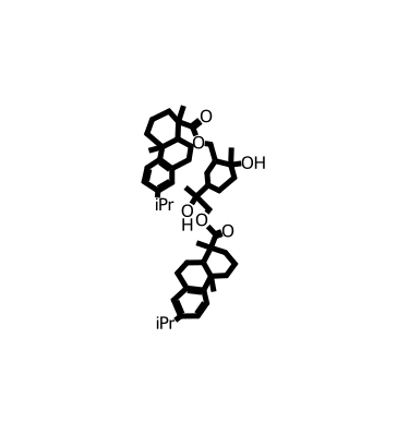 CC(C)c1ccc2c(c1)CCC1C(C)(C(=O)OCC3CC(C(C)(O)COC(=O)C4(C)CCCC5(C)c6ccc(C(C)C)cc6CCC45)CCC3(C)O)CCCC21C